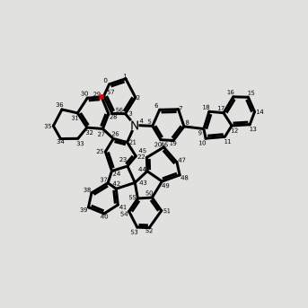 c1ccc(N(c2ccc(-c3ccc4ccccc4c3)cc2)c2cc3c(cc2-c2cccc4c2CCCC4)-c2ccccc2C32c3ccccc3-c3ccccc32)cc1